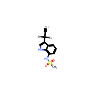 C#CC(CC)(CC)c1c[nH]c2c(NS(C)(=O)=O)cccc12